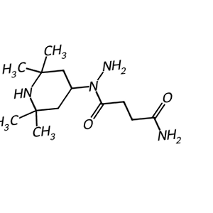 CC1(C)CC(N(N)C(=O)CCC(N)=O)CC(C)(C)N1